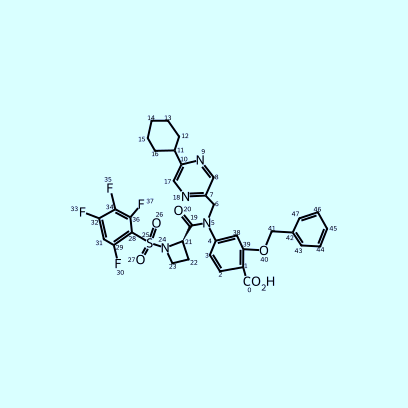 O=C(O)c1ccc(N(Cc2cnc(C3CCCCC3)cn2)C(=O)[C@H]2CCN2S(=O)(=O)c2c(F)cc(F)c(F)c2F)cc1OCc1ccccc1